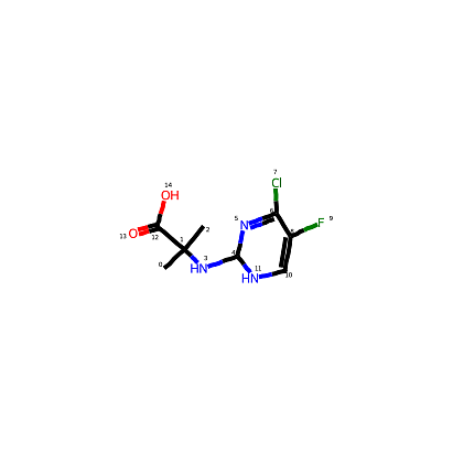 CC(C)(NC1N=C(Cl)C(F)=CN1)C(=O)O